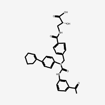 CC(=O)c1cccc(NC(=O)N(Cc2ccc(C(=O)NC[C@@H](O)C(=O)O)cc2)c2ccc(C3=CCCCC3)cc2)c1